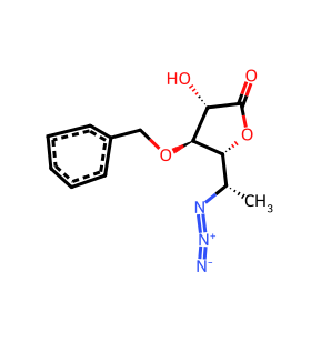 C[C@H](N=[N+]=[N-])[C@H]1OC(=O)[C@@H](O)[C@@H]1OCc1ccccc1